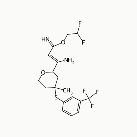 CC1(Sc2cccc(C(F)(F)F)c2)CCOC(/C(N)=C/C(=N)OCC(F)F)C1